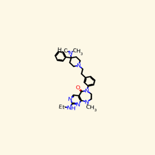 CCNc1ncc2c(n1)N(C)CCN(c1cccc(CCN3CCC(c4ccccc4)(N(C)C)CC3)c1)C2=O